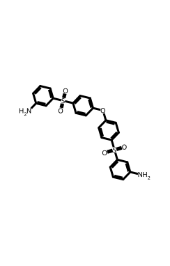 Nc1cccc(S(=O)(=O)c2ccc(Oc3ccc(S(=O)(=O)c4cccc(N)c4)cc3)cc2)c1